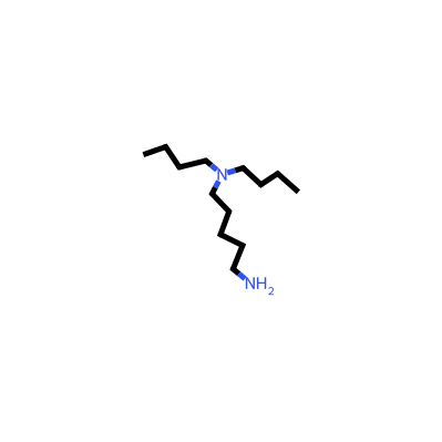 CCCCN(CCCC)CCCCCN